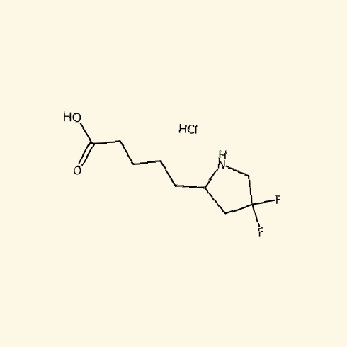 Cl.O=C(O)CCCCC1CC(F)(F)CN1